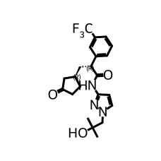 CC(C)(O)Cn1ccc(NC(=O)[C@H](C[C@H]2CCC(=O)C2)c2cccc(C(F)(F)F)c2)n1